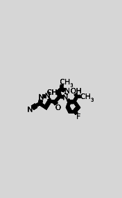 Cc1cc(C(=O)c2cc(C#N)nn2C)n(-c2ccc(F)cc2C(C)O)n1